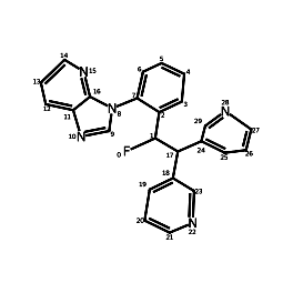 FC(c1ccccc1-n1cnc2cccnc21)C(c1cccnc1)c1cccnc1